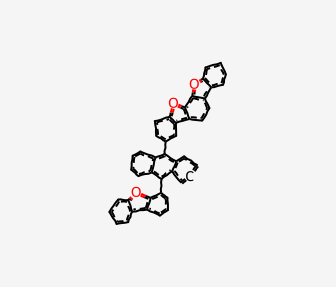 c1ccc2c(c1)oc1c(-c3c4ccccc4c(-c4ccc5oc6c(ccc7c8ccccc8oc76)c5c4)c4ccccc34)cccc12